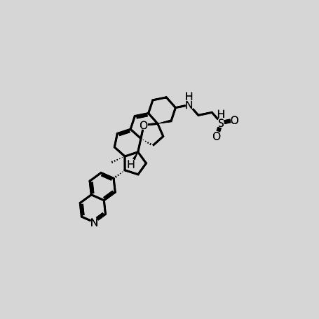 C[C@]12CC=C3C=C4CCC(NCC[SH](=O)=O)C[C@]45CC[C@]3(O5)[C@@H]1CC[C@@H]2c1ccc2ccncc2c1